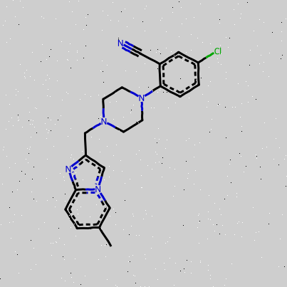 Cc1ccc2nc(CN3CCN(c4ccc(Cl)cc4C#N)CC3)cn2c1